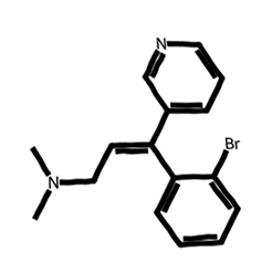 CN(C)CC=C(c1cccnc1)c1ccccc1Br